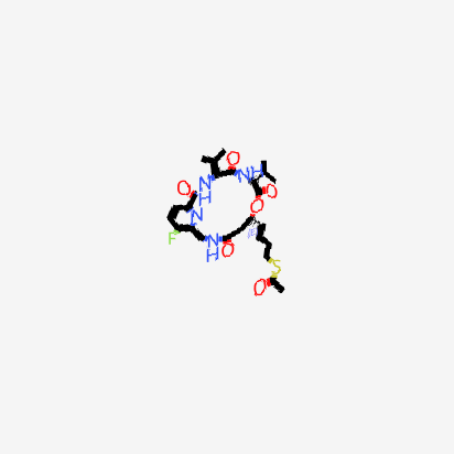 CC(=O)SCC/C=C/[C@@H]1CC(=O)NCc2nc(ccc2F)C(=O)NC(=C(C)C)C(=O)N[C@@H](C(C)C)C(=O)O1